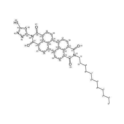 CCCCCCCCCCCCN1C(=O)c2ccc3c4ccc5c6c(ccc(c7ccc(c2c37)C1=O)c64)C(=O)N(c1nnc(S)s1)C5=O